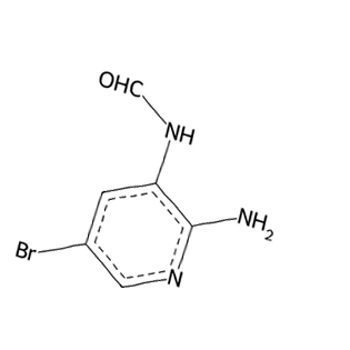 Nc1ncc(Br)cc1NC=O